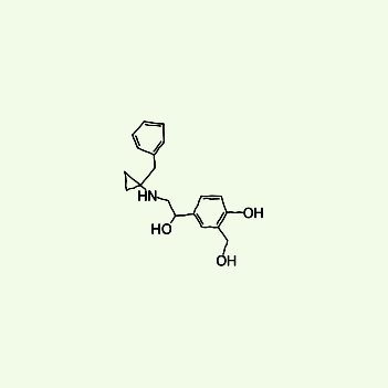 OCc1cc(C(O)CNC2(Cc3ccccc3)CC2)ccc1O